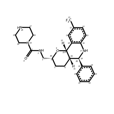 O=C(NC[C@H]1CC[C@@H]2[C@H](O1)c1cc(C(F)(F)F)ccc1N[C@H]2c1ccccc1)N1CCNCC1